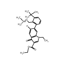 CCOC(=O)c1cn(CC)c2cc(-c3cccc(C(C)(C)C)c3CO[SiH](C)C)c(F)cc2c1=O